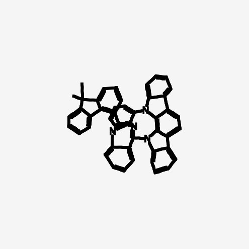 CC1(C)c2ccccc2-c2c(-c3nc(-n4c5ccccc5c5ccc6c7ccccc7n(-c7ccccc7)c6c54)c4ccccc4n3)cccc21